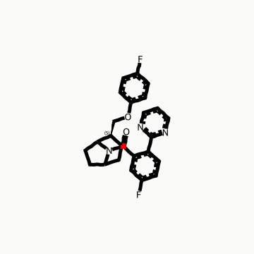 O=C(c1cc(F)ccc1-c1ncccn1)N1C2CCC1[C@@H](COc1ccc(F)cc1)CC2